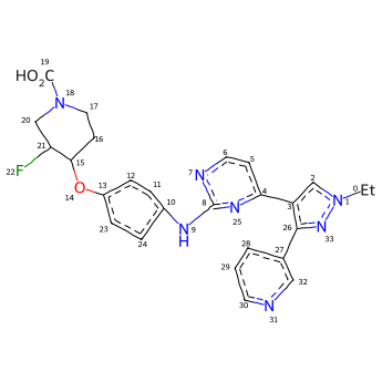 CCn1cc(-c2ccnc(Nc3ccc(OC4CCN(C(=O)O)CC4F)cc3)n2)c(-c2cccnc2)n1